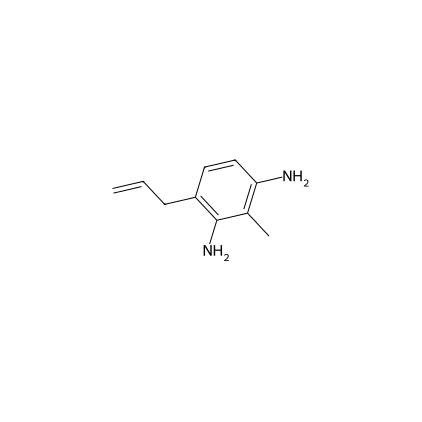 C=CCc1ccc(N)c(C)c1N